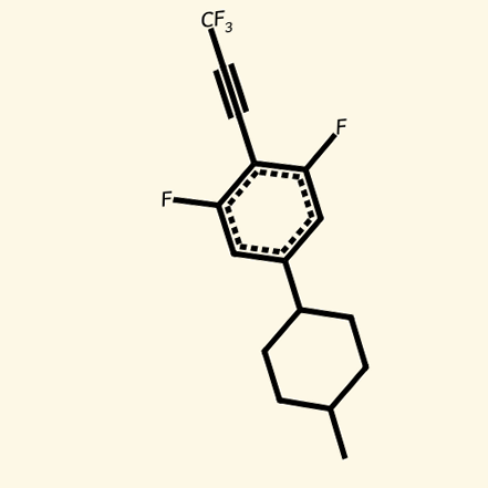 CC1CCC(c2cc(F)c(C#CC(F)(F)F)c(F)c2)CC1